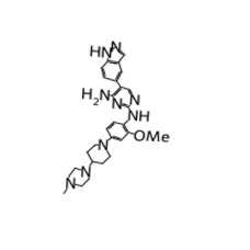 COc1cc(N2CCC(N3CCN(C)CC3)CC2)ccc1Nc1ncc(-c2ccc3[nH]ncc3c2)c(N)n1